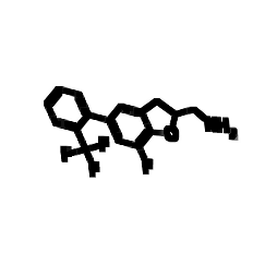 NCC1Cc2cc(-c3ccccc3C(F)(F)F)cc(F)c2O1